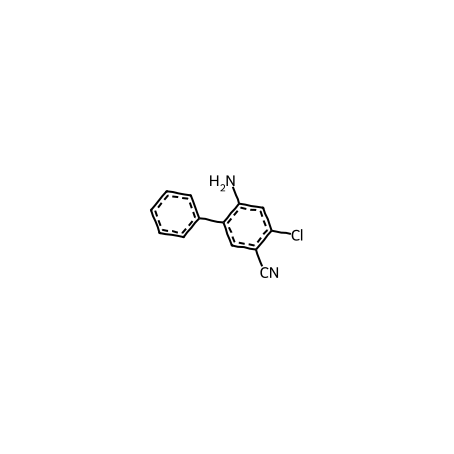 N#Cc1cc(-c2ccccc2)c(N)cc1Cl